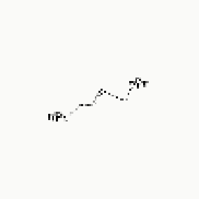 [CH2]CCCC=CCCC[CH2]